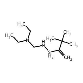 C=C([SiH2]NCN(CC)CC)C(C)(C)C